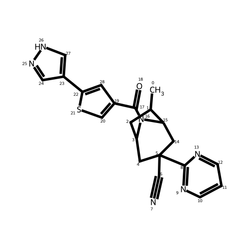 CC1CC2CC(C#N)(c3ncccn3)CC1N2C(=O)c1csc(-c2cn[nH]c2)c1